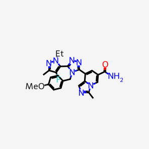 CCn1nc(C)c(F)c1-c1nnc(-c2cc(C(N)=O)cn3c(C)ncc23)n1Cc1ccc(OC)cc1